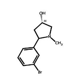 CN1C[C@@H](O)CC1c1cccc(Br)c1